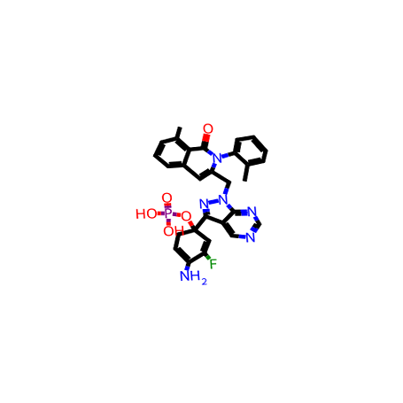 Cc1ccccc1-n1c(Cn2nc(C3(OP(=O)(O)O)C=C(F)C(N)=CC3)c3cncnc32)cc2cccc(C)c2c1=O